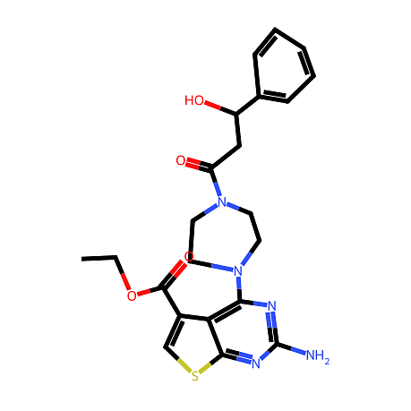 CCOC(=O)c1csc2nc(N)nc(N3CCN(C(=O)CC(O)c4ccccc4)CC3)c12